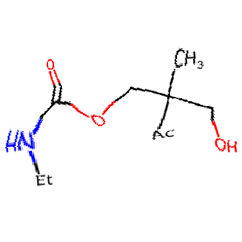 CCNC(=O)OCC(C)(CO)C(C)=O